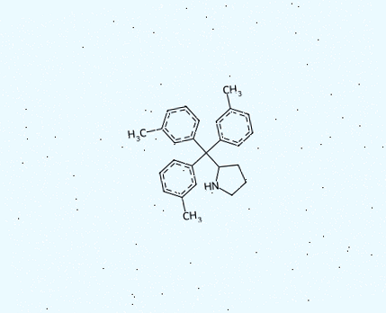 Cc1cccc(C(c2cccc(C)c2)(c2cccc(C)c2)C2CCCN2)c1